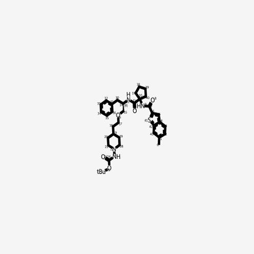 Cc1ccc2cc(C(=O)NC3(C(=O)N[C@@H](COCCC4CCN(NC(=O)OC(C)(C)C)CC4)Cc4ccccc4)CCCC3)sc2c1